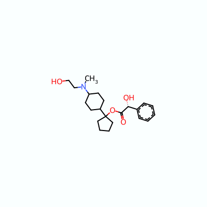 CN(CCO)C1CCC(C2(OC(=O)[C@H](O)c3ccccc3)CCCC2)CC1